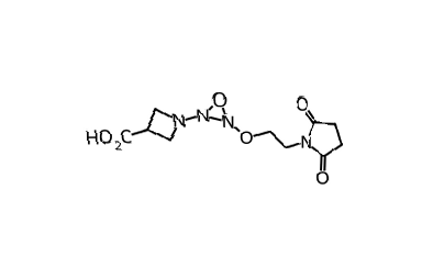 O=C(O)C1CN(n2on2OCCN2C(=O)CCC2=O)C1